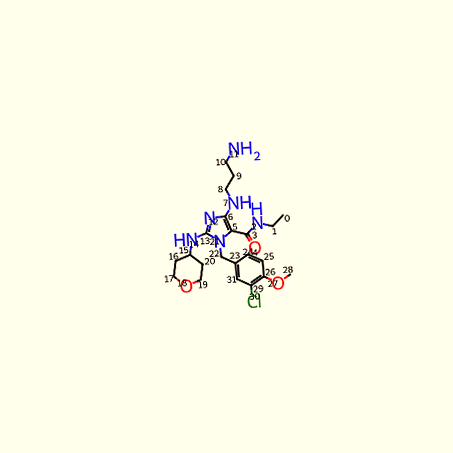 CCNC(=O)c1c(NCCCN)nc(NC2CCOCC2)n1Cc1ccc(OC)c(Cl)c1